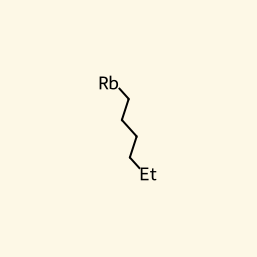 CCCCC[CH2][Rb]